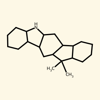 CC1(C)C2CCCCC2C2CC3NC4CCCCC4C3CC21